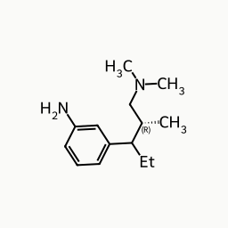 CCC(c1cccc(N)c1)[C@@H](C)CN(C)C